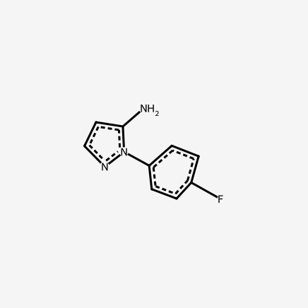 Nc1ccnn1-c1ccc(F)cc1